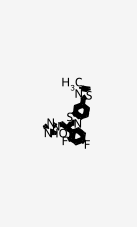 Cc1csc(-c2ccc3nc(C(O)(Cn4cncn4)c4ccc(F)cc4F)sc3c2)n1